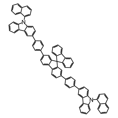 c1ccc2c(c1)-c1ccccc1C21c2cc(-c3ccc(-c4ccc5c(c4)c4ccccc4n5-c4cccc5ccccc45)cc3)ccc2-c2ccc(-c3ccc(-c4ccc5c(c4)c4ccccc4n5-c4cccc5ccccc45)cc3)cc21